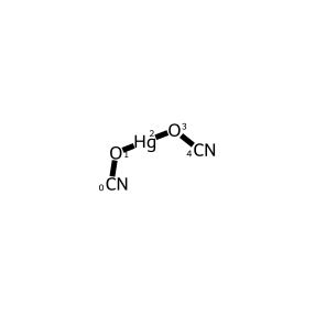 N#C[O][Hg][O]C#N